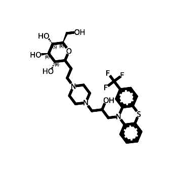 OC[C@H]1OC(CCN2CCN(CC(O)CN3c4ccccc4Sc4ccc(C(F)(F)F)cc43)CC2)[C@H](O)[C@@H](O)[C@@H]1O